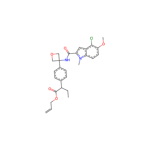 C=CCOC(=O)C(CC)c1ccc(C2(NC(=O)c3cc4c(Cl)c(OC)ccc4n3C)COC2)cc1